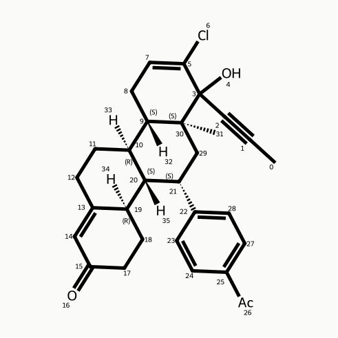 CC#CC1(O)C(Cl)=CC[C@H]2[C@@H]3CCC4=CC(=O)CC[C@@H]4[C@H]3[C@@H](c3ccc(C(C)=O)cc3)C[C@@]21C